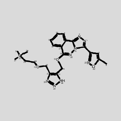 Cc1cc(-c2nnc3c4ccccc4c(OCc4[nH]nnc4COCC[Si](C)(C)C)nn23)no1